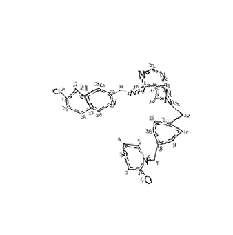 O=c1ccccn1Cc1ccc(Cn2cc3c(NCc4cc5cc(Cl)ccc5cn4)ncnc3n2)cc1